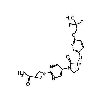 CC(F)(F)COc1ccc(O[C@@H]2CCN(c3cnc(N4CC(C(N)=O)C4)nc3)C2=O)cn1